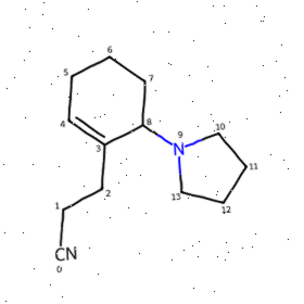 N#CCCC1=CCCCC1N1CCCC1